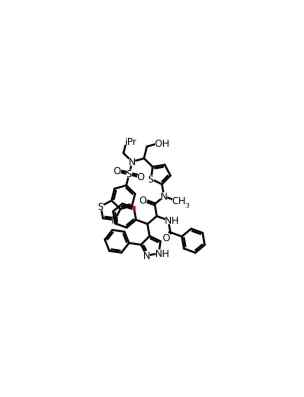 CC(C)CN(C(CO)c1ccc(N(C)C(=O)C(NC(=O)c2ccccc2)C(c2ccccc2)c2c[nH]nc2-c2ccccc2)s1)S(=O)(=O)c1ccc2ncsc2c1